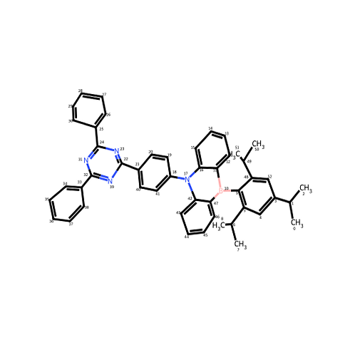 CC(C)c1cc(C(C)C)c(B2c3ccccc3N(c3ccc(-c4nc(-c5ccccc5)nc(-c5ccccc5)n4)cc3)c3ccccc32)c(C(C)C)c1